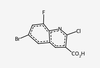 O=C(O)c1cc2cc(Br)cc(F)c2nc1Cl